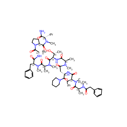 CC[C@H](C)[C@H](NC(=O)[C@H](Cc1ccccc1)N(C)C(=O)[C@H](C)N(C)C(=O)[C@H](NC(=O)[C@@H](C)N(C)C(=O)C[C@H](NC(=O)[C@H](CC(C)C)N(C)C(=O)[C@H](C)N(C)C(=O)Cc1ccccc1)C(=O)N1CCCCC1)[C@@H](C)O)C(=O)N1CCC[C@H]1C(=O)N(C)[C@H](C(N)=O)C(C)C